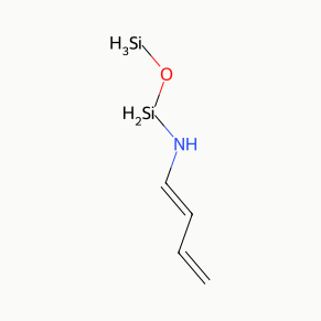 C=CC=CN[SiH2]O[SiH3]